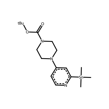 CC(C)(C)OC(=O)N1CCN(c2ccn[c]([Sn]([CH3])([CH3])[CH3])c2)CC1